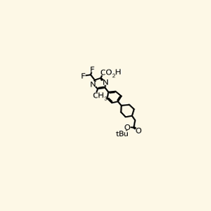 Cc1nc(C(F)F)c(C(=O)O)nc1-c1ccc(C2CCC(CC(=O)OC(C)(C)C)CC2)cc1